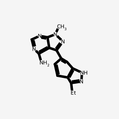 CCc1n[nH]c2cc(-c3nn(C)c4ncnc(N)c34)ccc12